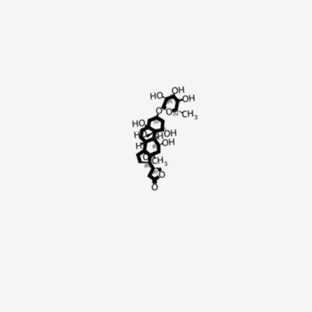 C[C@@H]1O[C@@H](O[C@H]2C[C@@H](O)[C@]3(CO)[C@H]4[C@H](O)C[C@]5(C)[C@@H]([C@@H]6COC(=O)C6)CC[C@]5(O)[C@@H]4CC[C@]3(O)C2)[C@H](O)[C@H](O)[C@H]1O